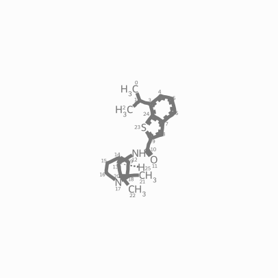 CC(C)c1cccc2cc(C(=O)N[C@@H]3C4CCN(CC4)C3(C)C)sc12